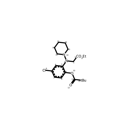 CCOC(=O)CN(c1cc(Cl)ccc1OC(=O)C(C)(C)C)N1CCCCC1